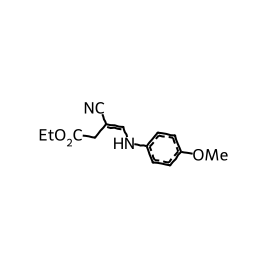 CCOC(=O)CC(C#N)=CNc1ccc(OC)cc1